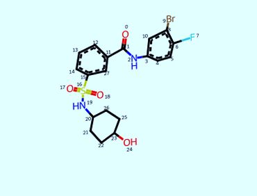 O=C(Nc1ccc(F)c(Br)c1)c1cccc(S(=O)(=O)NC2CCC(O)CC2)c1